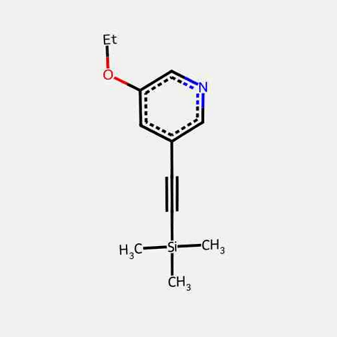 CCOc1cncc(C#C[Si](C)(C)C)c1